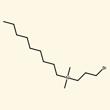 CCCCCCCCC[N+](C)(C)CCCBr